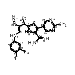 CCC(/C(=C/Nc1ccc(F)c(F)c1)N=N)c1cc(-c2cnc(C(F)(F)F)nc2)c(C(=N)N)[nH]1